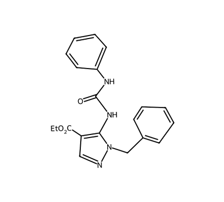 CCOC(=O)c1cnn(Cc2ccccc2)c1NC(=O)Nc1ccccc1